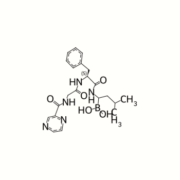 CC(C)CC(NC(=O)[C@H](Cc1ccccc1)NC(=O)CNC(=O)c1cnccn1)B(O)O